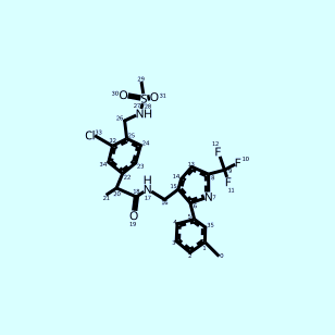 Cc1cccc(-c2nc(C(F)(F)F)ccc2CNC(=O)C(C)c2ccc(CNS(C)(=O)=O)c(Cl)c2)c1